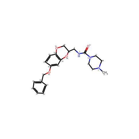 CN1CCN(C(=O)NCC2COc3ccc(OCc4ccccc4)cc3O2)CC1